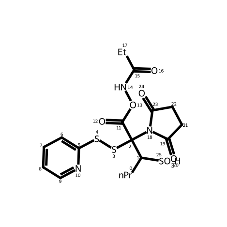 CCCC(C(SSc1ccccn1)(C(=O)ONC(=O)CC)N1C(=O)CCC1=O)S(=O)(=O)O